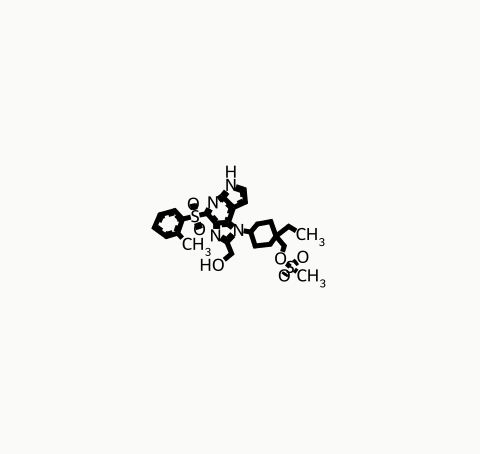 CCC1(COS(C)(=O)=O)CCC(n2c(CO)nc3c(S(=O)(=O)c4ccccc4C)nc4[nH]ccc4c32)CC1